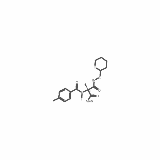 CNC(=O)[C@@](C)(C(=O)NOC1CCCCO1)N(I)C(=O)c1ccc(C)cc1